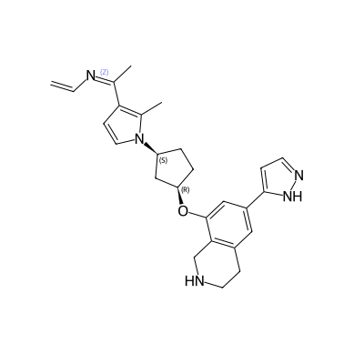 C=C/N=C(/C)c1ccn([C@H]2CC[C@@H](Oc3cc(-c4ccn[nH]4)cc4c3CNCC4)C2)c1C